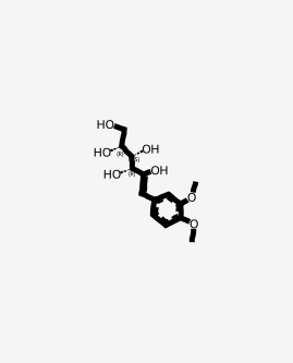 COc1ccc(C=C(O)[C@H](O)[C@@H](O)[C@H](O)CO)cc1OC